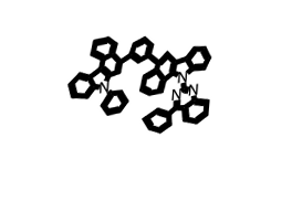 c1ccc(-c2nc(-n3c4ccccc4c4cc(-c5cccc(-c6cc7c(c8ccccc68)c6ccccc6n7-c6ccccc6)c5)c5ccccc5c43)nc3ccccc23)cc1